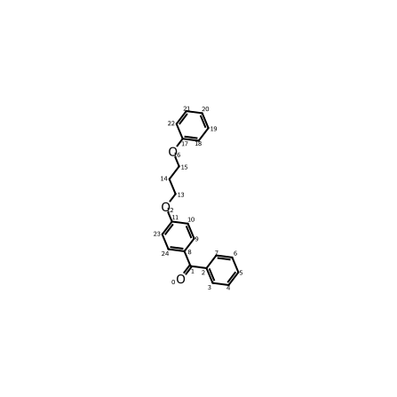 O=C(c1ccccc1)c1ccc(OCCCOc2ccccc2)cc1